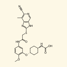 COc1ccc(NC(=O)CSc2nc3c(C)c(C#N)ncc3[nH]2)cc1O[C@H]1CC[C@H](NC(=O)O)CC1